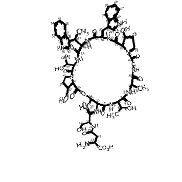 CC1NC(=O)C(C(C)O)NC(=O)C(NC(=O)C(CO)NC(=O)CC(N)C(=O)O)C(C)OC(=O)C2C(O)CCN2C(=O)C(C(O)C(C)C)NC(=O)C(C(C)c2c[nH]c3ccccc23)NC(=O)C(=Cc2c[nH]c3ccccc23)NC(=O)C2C(O)CCN2C(=O)CNC1=O